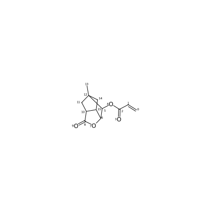 C=CC(=O)OC1C2OC(=O)C3CC1(C)CC32